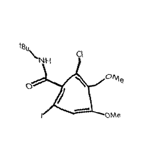 COc1cc(I)c(C(=O)NC(C)(C)C)c(Cl)c1OC